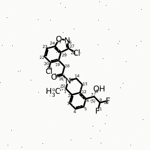 C[C@H]1c2cccc([C@H](O)C(F)F)c2CCN1C(=O)Cc1c(Cl)ccc2onc(Cl)c12